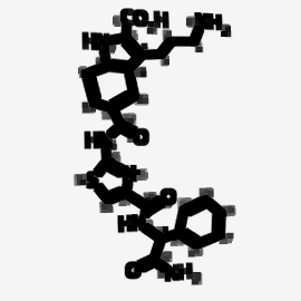 NCCCc1c(C(=O)O)[nH]c2ccc(C(=O)Nc3nc(C(=O)NC(C(N)=O)c4ccccc4)cs3)cc12